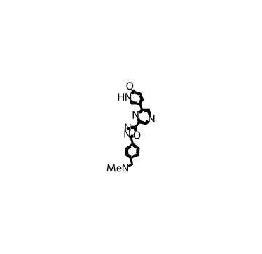 CNCc1ccc(-c2nnc(-c3cncc(-c4ccc(=O)[nH]c4)n3)o2)cc1